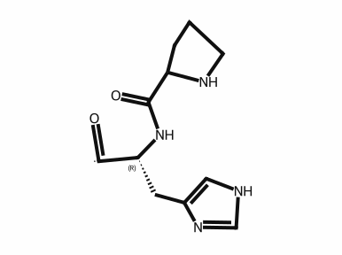 O=[C][C@@H](Cc1c[nH]cn1)NC(=O)C1CCCN1